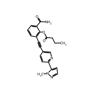 CCCC(=O)Oc1c(C#Cc2ccc(-c3ccnn3C)nc2)cccc1C(N)=O